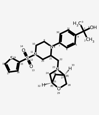 CC(C)(O)c1ccc(N2CCN(S(=O)(=O)c3cccs3)CC2CN2C[C@H]3C[C@@H]2CO3)cc1